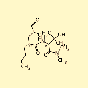 CCCC[C@H](CN(O)C=O)C(=O)N[C@H](C(=O)N(C)C)C(C)(C)O